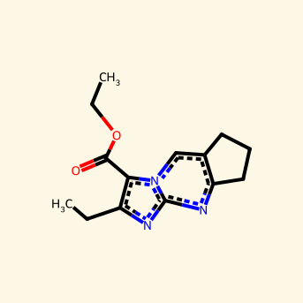 CCOC(=O)c1c(CC)nc2nc3c(cn12)CCC3